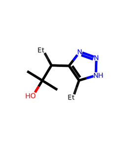 CCc1[nH]nnc1C(CC)C(C)(C)O